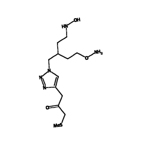 CSCC(=O)Cc1cn(CC(CCNO)CCON)nn1